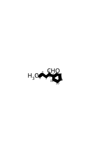 CC=CCC(C=O)c1ccccc1